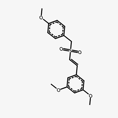 COc1ccc(CS(=O)(=O)/C=C/c2cc(OC)cc(OC)c2)cc1